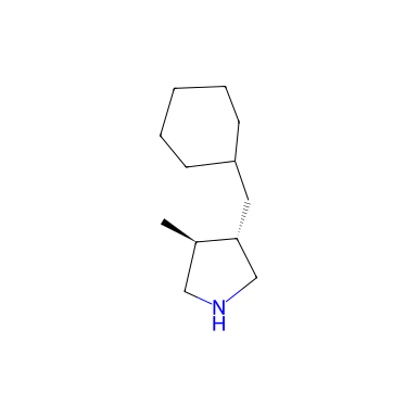 C[C@@H]1CNC[C@H]1CC1CCCCC1